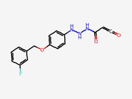 O=C=CC(=O)NNNc1ccc(OCc2cccc(F)c2)cc1